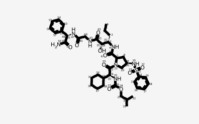 CCC[C@H](NC(=O)C1C[C@@H](NS(=O)(=O)c2ccccc2)CN1C(=O)[C@@H](NC(=O)OCC(C)C)C1CCCCC1)[C@H](O)C(=O)NCC(=O)N[C@H](C(N)=O)c1ccccc1